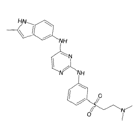 Cc1cc2cc(Nc3ccnc(Nc4cccc(S(=O)(=O)CCN(C)C)c4)n3)ccc2[nH]1